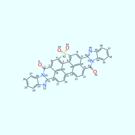 O=c1c2cc3c4c5c(cc6c7c(ccc(c8ccc(c2c84)c2nc4ccccc4n12)c57)c(=O)n1c2ccccc2nc61)S3(=O)=O